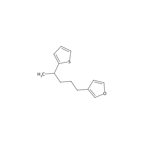 CC(CCCc1ccoc1)c1cccs1